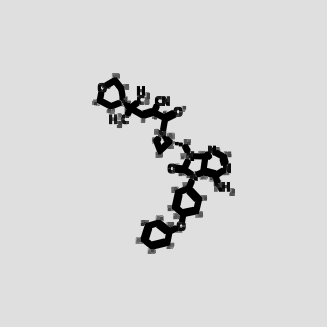 CC(C)(C=C(C#N)C(=O)N1CC[C@H]1Cn1c(=O)n(-c2ccc(Oc3ccccc3)cc2)c2c(N)ncnc21)N1CCOCC1